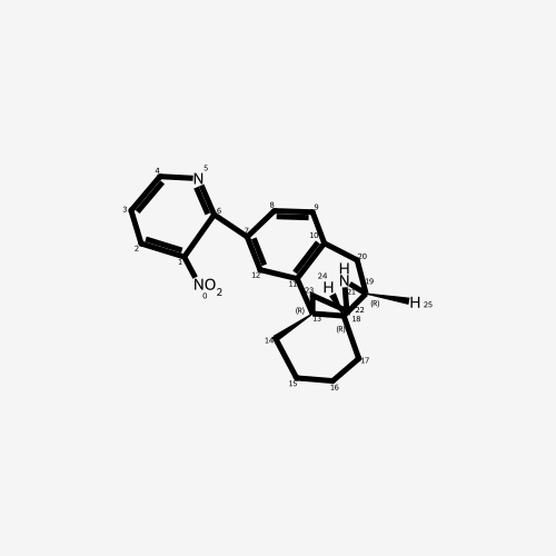 O=[N+]([O-])c1cccnc1-c1ccc2c(c1)[C@@]13CCCC[C@H]1[C@@H](C2)NCC3